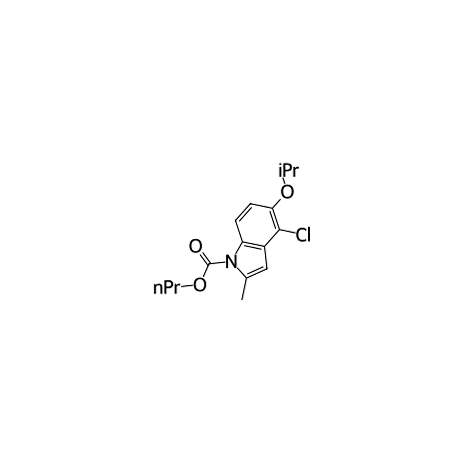 CCCOC(=O)n1c(C)cc2c(Cl)c(OC(C)C)ccc21